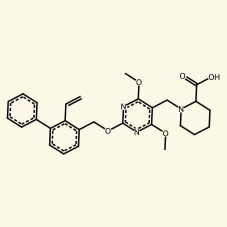 C=Cc1c(COc2nc(OC)c(CN3CCCCC3C(=O)O)c(OC)n2)cccc1-c1ccccc1